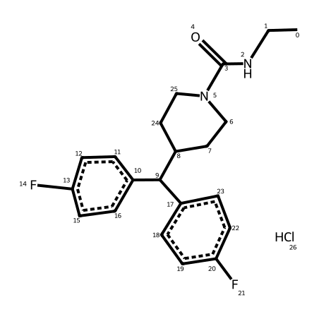 CCNC(=O)N1CCC(C(c2ccc(F)cc2)c2ccc(F)cc2)CC1.Cl